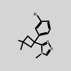 Cn1cnnc1C1(c2cccc(Br)c2)CC(C)(C)C1